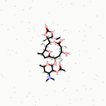 CC[C@H]1OC(=O)O[C@@]1(C)[C@@H]1OC(=O)[C@H](C)[C@@H](O)[C@H](C)[C@@H](O[C@@H]2OC(C)CC(N(C)C)C2OC(C)=O)[C@@]2(C)CC(C)C(O2)[C@@H]1C